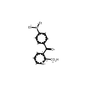 CCN(CC)c1ccc(C(=O)c2cccnc2C(=O)O)cc1